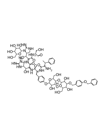 CC(c1ccccc1)[C@H](N)C(=O)N[C@@H](Cc1ccc(OC2OC(CO)C(OC3OC(CO)C(O)C(OCc4ccc(OCc5ccccc5)cc4)C3O)C(O)C2O)cc1)C(=O)N[C@H](C(=O)N[C@H](C(=O)N[C@H]([C]=O)CO)C(O)C1CNC(=N)N1C1OC(CO)C(O)C(O)C1O)C(O)C1CNC(=N)N1